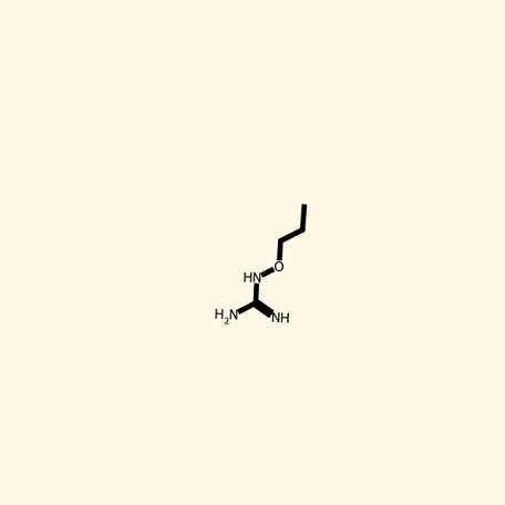 CCCONC(=N)N